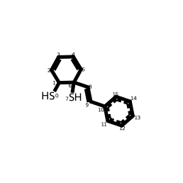 SC1C=CC=CC1(S)C=Cc1ccccc1